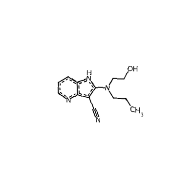 CCCN(CCO)c1[nH]c2cccnc2c1C#N